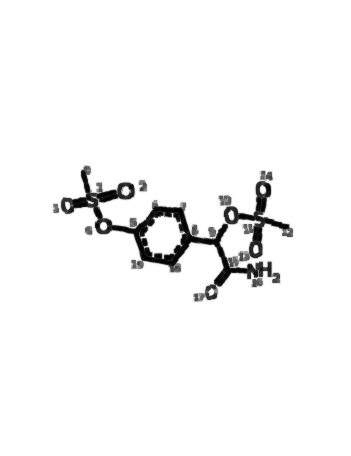 CS(=O)(=O)Oc1ccc(C(OS(C)(=O)=O)C(N)=O)cc1